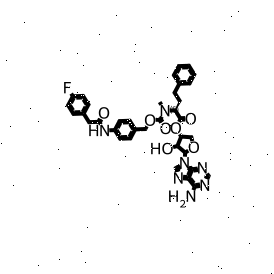 CN(C(=O)OCc1ccc(NC(=O)Cc2ccc(F)cc2)cc1)[C@@H](CCc1ccccc1)C(=O)OC1COC(n2cnc3c(N)ncnc32)C1O